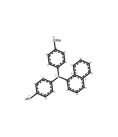 CCCc1ccc(N(c2ccc(OC)cc2)c2cccc3ccccc23)cc1